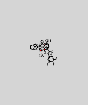 CC(C)(C)OC(=O)N1CC[C@H](O)[C@H]1C(=O)NCC1(O)C2CCC1CC(S(=O)(=O)c1cc(C(=O)Nc3cc(F)c(F)c(F)c3)ccc1Cl)C2